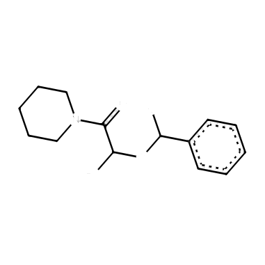 CCC(OC(c1ccccc1)C(F)(F)F)C(=O)N1CCCCC1